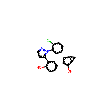 Oc1ccc2cc1-2.Oc1ccccc1-c1ccnn1-c1ccccc1Cl